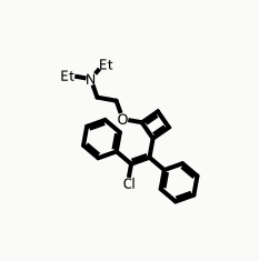 CCN(CC)CCOC1=CC=C1/C(=C(/Cl)c1ccccc1)c1ccccc1